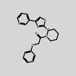 O=C(COc1ccccc1)N1CCCC[C@@H]1c1nc(-c2cccnc2)cs1